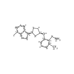 Cc1ncnc2c1ccn2[C@H]1CC[C@@H](Oc2cccc(C(F)(F)F)c2CN)C1